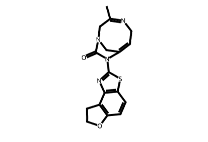 C/C1=N/C/C=C2\CN(C1)C(=O)N2c1nc2c3c(ccc2s1)OCC3